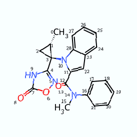 C[C@H]1C[C@]1(c1noc(=O)[nH]1)n1c(C(=O)N(C)c2ccccc2)cc2ccccc21